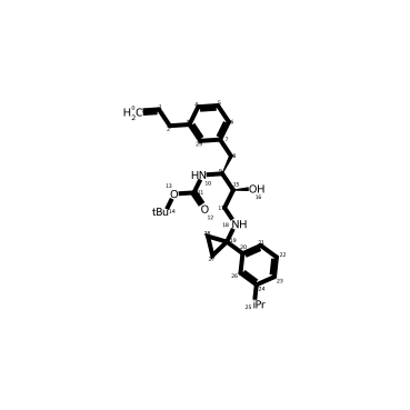 C=CCc1cccc(C[C@H](NC(=O)OC(C)(C)C)[C@@H](O)CNC2(c3cccc(C(C)C)c3)CC2)c1